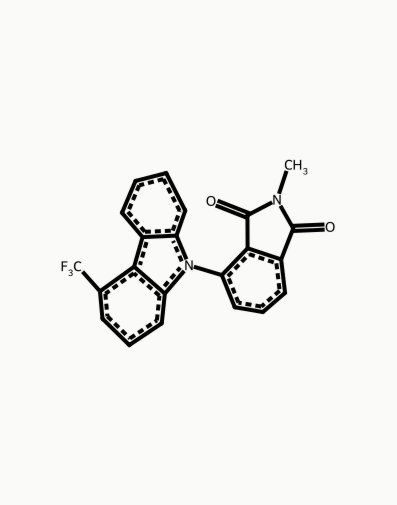 CN1C(=O)c2cccc(-n3c4ccccc4c4c(C(F)(F)F)cccc43)c2C1=O